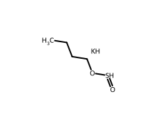 CCCCO[SH]=O.[KH]